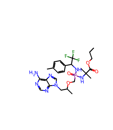 CCCOC(=O)C(C)(C)NP(=O)(COC(C)Cn1cnc2c(N)ncnc21)NC(c1ccc(C)cc1)C(F)(F)F